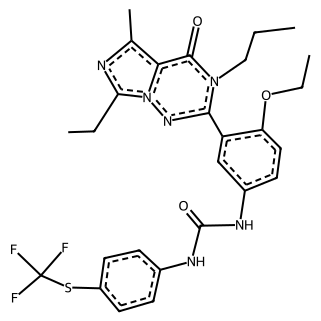 CCCn1c(-c2cc(NC(=O)Nc3ccc(SC(F)(F)F)cc3)ccc2OCC)nn2c(CC)nc(C)c2c1=O